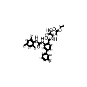 CCOC(=O)C[C@H](NC(=O)c1ccc(-c2cccc(F)c2)cc1NC(=O)Nc1c(C)cc(C)cc1C)C(=O)O